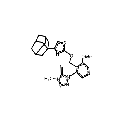 COc1cccc(-n2nnn(C)c2=O)c1COc1nc(C23CC4CC(CC(C4)C2)C3)cs1